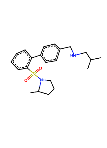 CC(C)CNCc1ccc(-c2ccccc2S(=O)(=O)N2CCCC2C)cc1